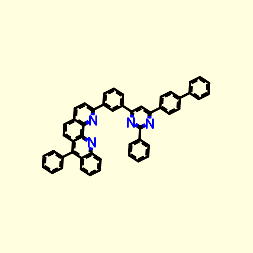 c1ccc(-c2ccc(-c3cc(-c4cccc(-c5ccc6ccc7c(-c8ccccc8)c8ccccc8nc7c6n5)c4)nc(-c4ccccc4)n3)cc2)cc1